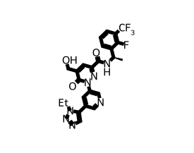 CCn1nncc1-c1cncc(-n2nc(C(=O)N[C@H](C)c3cccc(C(F)(F)F)c3F)cc(CO)c2=O)c1